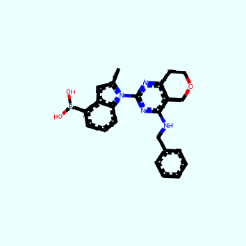 Cc1cc2c(B(O)O)cccc2n1-c1nc2c(c(NCc3ccccc3)n1)COCC2